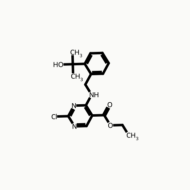 CCOC(=O)c1cnc(Cl)nc1NCc1ccccc1C(C)(C)O